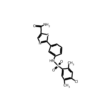 Cc1cc(S(=O)(=O)Nc2cccc(-c3ncc(C(N)=O)s3)c2)c(C)cc1Cl